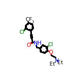 CCN(CC)CCOc1ccc(CNC(=O)C#Cc2ccc(C(F)(F)F)cc2Cl)cc1Cl